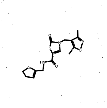 Cc1noc(C)c1Cn1cc(C(=O)NCC2=CCCS2)sc1=O